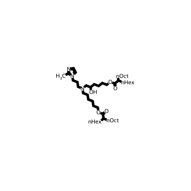 CCCCCCCCC(CCCCCC)C(=O)OCCCCCCN(CCCn1ccnc1C)CC(O)CCCCOC(=O)C(CCCCCC)CCCCCCCC